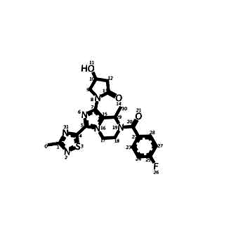 Cc1nsc(-c2nc(N3CC(O)CC3=O)c3n2CCN(C(=O)c2ccc(F)cc2)C3C)n1